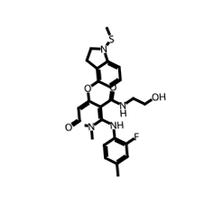 CSN1CCc2c(OC(=C/C=O)/C(C(=O)NCCO)=C(/Nc3ccc(C)cc3F)N(C)C)cccc21